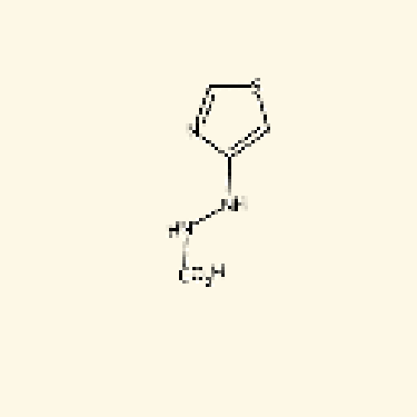 O=C(O)NNc1cscn1